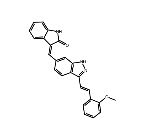 COc1ccccc1C=Cc1n[nH]c2cc(C=C3C(=O)Nc4ccccc43)ccc12